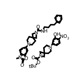 CC(C)(C)OC(=O)N1CC2(CCN(c3ccc([N+](=O)[O-])c(O)c3)CC2)C1.Cn1c(=O)oc2cc(N3CCC4(CC3)CN(C(=O)NCCCCc3ccccc3)C4)ccc21